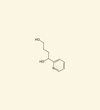 OCCCC(O)c1ccccn1